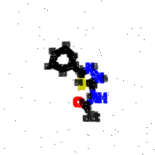 CCC(=O)Nc1nnc(-c2ccccc2)s1